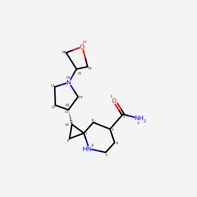 NC(=O)C1CCNC2(C1)CC2[C@@H]1CCN(C2COC2)C1